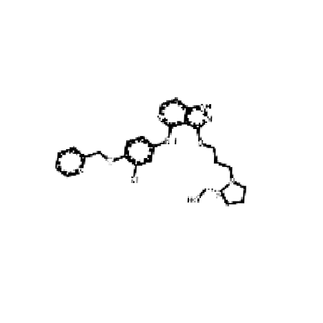 OC[C@H]1CCCN1CCCOc1n[nH]c2ccnc(Nc3ccc(OCc4ccccn4)c(Cl)c3)c12